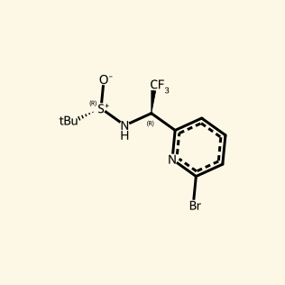 CC(C)(C)[S@+]([O-])N[C@H](c1cccc(Br)n1)C(F)(F)F